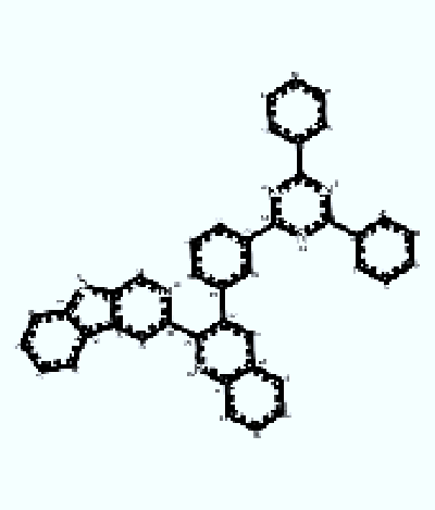 c1ccc(-c2nc(-c3ccccc3)nc(-c3cccc(-c4cc5ccccc5nc4-c4cc5c(cn4)oc4ccccc45)c3)n2)cc1